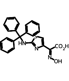 O=C(O)C(=NO)c1csc(NC(c2ccccc2)(c2ccccc2)c2ccccc2)n1